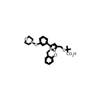 CC(C)(OCc1cc(-c2cccc(ON3CCOCC3)c2)n(Cc2ccccc2Cl)n1)C(=O)O